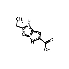 CCc1nn2nc(C(=O)O)cc2[nH]1